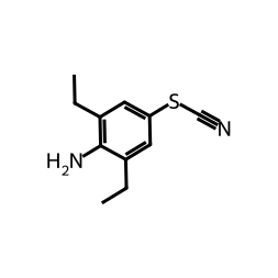 CCc1cc(SC#N)cc(CC)c1N